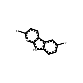 Clc1ccc2c(n1)[nH]c1ccc(Br)cc12